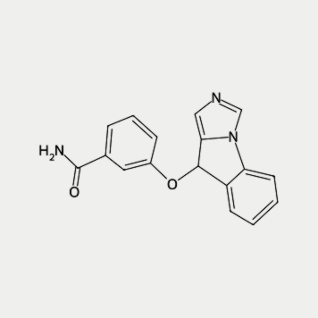 NC(=O)c1cccc(OC2c3ccccc3-n3cncc32)c1